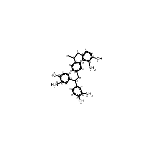 CC(Cc1ccc(O)c(N)c1)c1ccc(CC(c2ccc(O)c(N)c2)c2ccc(O)c(N)c2)cc1